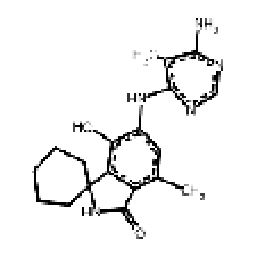 Cc1cc(Nc2ncnc(N)c2C)c(O)c2c1C(=O)NC21CCCCC1